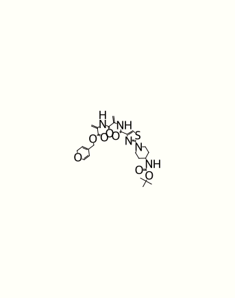 C=C(NC(=O)c1csc(N2CCC(NC(=O)OC(C)(C)C)CC2)n1)C(=O)NC(=C)C(=O)OCC1=CCOC=C1